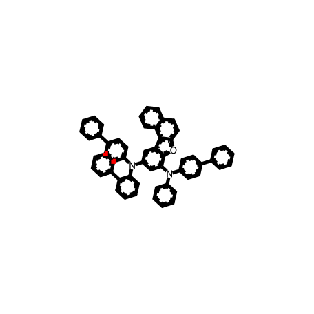 c1ccc(-c2ccc(N(c3cc(N(c4ccccc4)c4ccc(-c5ccccc5)cc4)c4oc5ccc6ccccc6c5c4c3)c3ccccc3-c3ccccc3)cc2)cc1